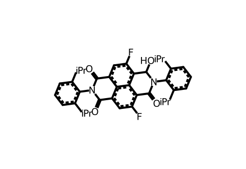 CC(C)c1cccc(C(C)C)c1N1C(=O)c2cc(F)c3c4c(c(F)cc(c24)C1=O)C(O)N(c1c(C(C)C)cccc1C(C)C)C3=O